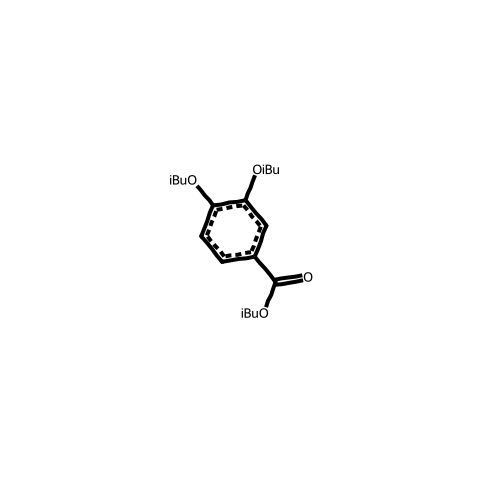 CC(C)COC(=O)c1ccc(OCC(C)C)c(OCC(C)C)c1